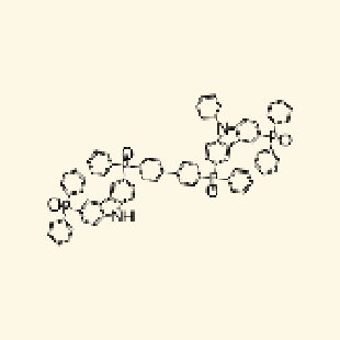 O=P(c1ccccc1)(c1ccccc1)c1ccc2[nH]c3ccc(P(=O)(c4ccccc4)c4ccc(-c5ccc(P(=O)(c6ccccc6)c6ccc7c(c6)c6cc(P(=O)(c8ccccc8)c8ccccc8)ccc6n7-c6ccccc6)cc5)cc4)cc3c2c1